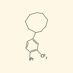 CC(C)c1ccc(C2CCCCCCCC2)cc1C(F)(F)F